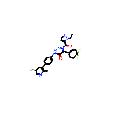 CCn1nccc1C(=O)NC(C(=O)Nc1ccc(-c2cc(Cl)cnc2C)cc1)C1CCC(F)(F)CC1